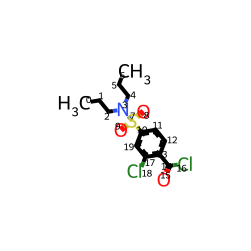 CCCN(CCC)S(=O)(=O)c1ccc(C(=O)Cl)c(Cl)c1